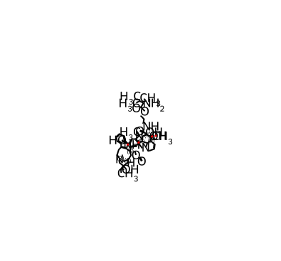 CCC1(O)C[C@H]2C[N@](CCc3c([nH]c4ccccc34)[C@@](COC=O)(c3cc4c(cc3CO)N(C)C3[C@]45CCN4CC=C[C@](CC)(C45)[C@@H](O)[C@]3(O)C(=O)NCCCOC(=O)C(N)C(C)(C)C)C2)C1